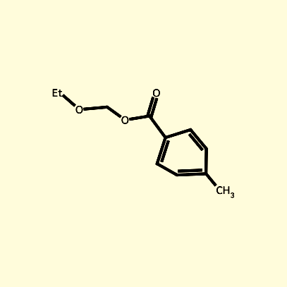 CCOCOC(=O)c1ccc(C)cc1